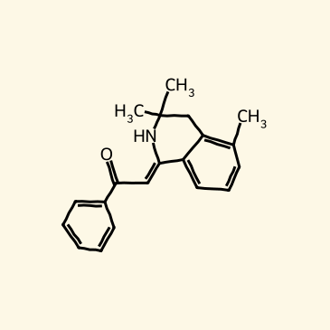 Cc1cccc2c1CC(C)(C)N/C2=C\C(=O)c1ccccc1